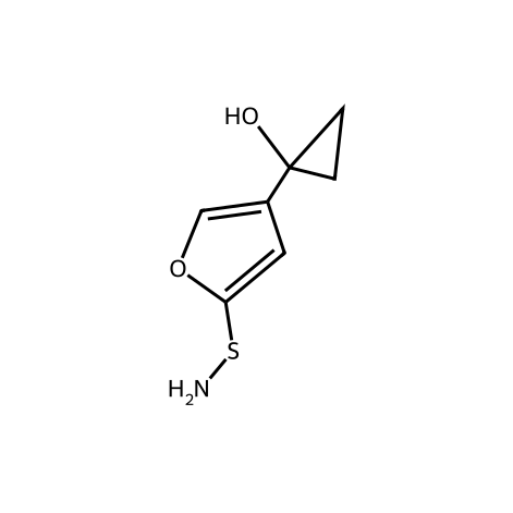 NSc1cc(C2(O)CC2)co1